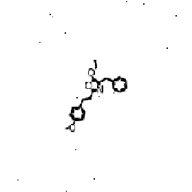 CCOc1oc(CCc2ccc(OC)cc2)nc1Cc1ccccc1